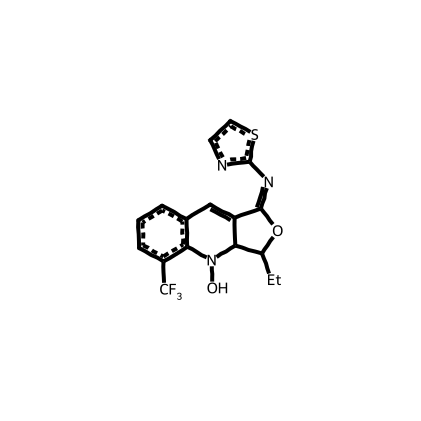 CCC1O/C(=N/c2nccs2)C2=Cc3cccc(C(F)(F)F)c3N(O)C21